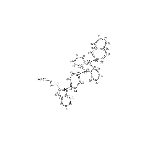 CCCCc1nc2ccccc2n1-c1ccc(-c2c3ccccc3c(-c3ccc4ccccc4c3)c3ccccc23)cc1